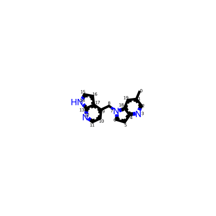 Cc1cnc2ccn(Cc3ccnc4[nH]ccc34)c2c1